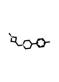 Cc1ccc(C2CCN(CC3CN(C)C3)CC2)cc1